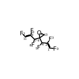 FC=C(F)C(F)C1(C(F)C(F)=CF)CO1